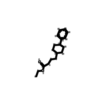 CCOC(=O)CCCC1CCC(c2ccccc2)CC1